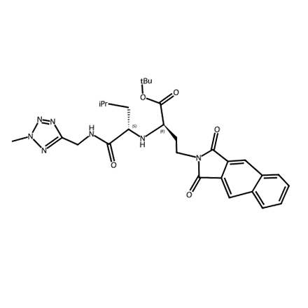 CC(C)C[C@H](N[C@H](CCN1C(=O)c2cc3ccccc3cc2C1=O)C(=O)OC(C)(C)C)C(=O)NCc1nnn(C)n1